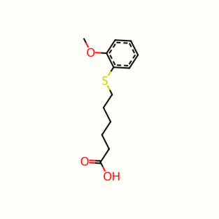 COc1ccccc1SCCCCCC(=O)O